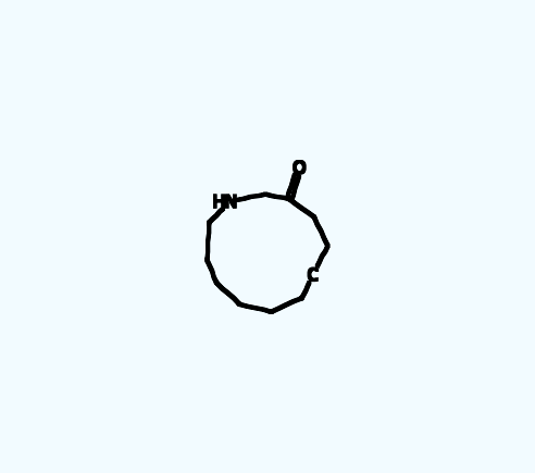 O=C1CCCCCCCCCNC1